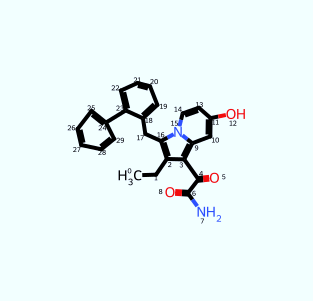 CCc1c(C(=O)C(N)=O)c2cc(O)ccn2c1Cc1ccccc1-c1ccccc1